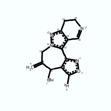 [2H]c1onc2c1C(C(C)(C)C)C(=C)Cn1nc3c(c1-2)C=NCC3